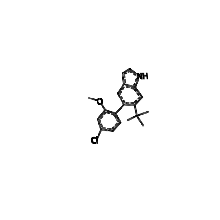 COc1cc(Cl)ccc1-c1cc2cc[nH]c2cc1C(C)(C)C